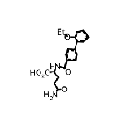 CCOc1ccccc1-c1ccc(C(=O)N[C@@H](CCC(N)=O)C(=O)O)cc1